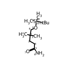 CC(C)(CCC(N)=O)CO[Si](C)(C)C(C)(C)C